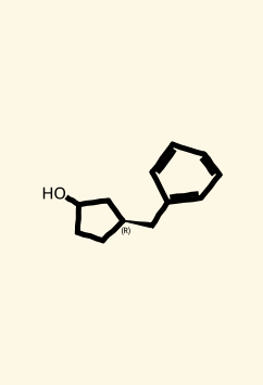 OC1CC[C@H](Cc2ccccc2)C1